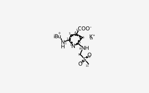 CCC(C)Nc1cc(C(=O)[O-])cc(NCS(C)(=O)=O)n1.[K+]